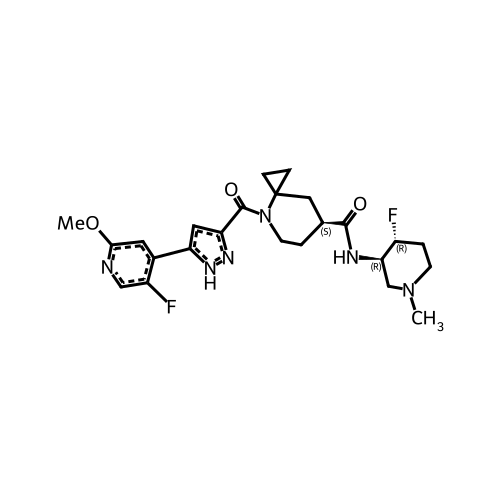 COc1cc(-c2cc(C(=O)N3CC[C@H](C(=O)N[C@@H]4CN(C)CC[C@H]4F)CC34CC4)n[nH]2)c(F)cn1